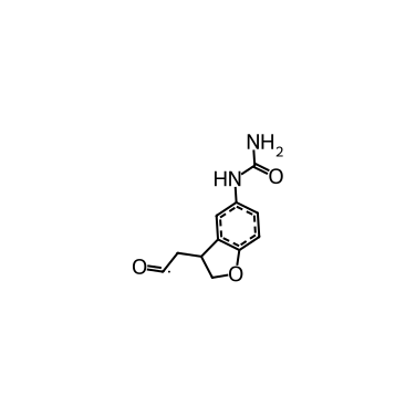 NC(=O)Nc1ccc2c(c1)C(C[C]=O)CO2